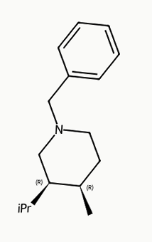 CC(C)[C@H]1CN(Cc2ccccc2)CC[C@H]1C